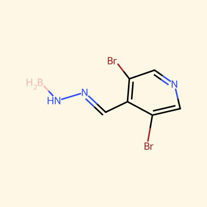 BNN=Cc1c(Br)cncc1Br